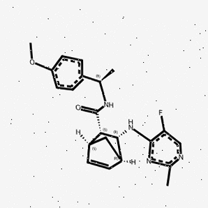 COc1ccc([C@@H](C)NC(=O)[C@@H]2[C@H](Nc3nc(C)ncc3F)[C@H]3C=C[C@@H]2C3)cc1